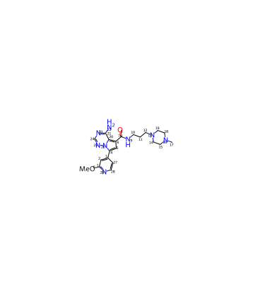 COc1cc(-c2cc(C(=O)NCCCN3CCN(C)CC3)c3c(N)ncnn23)ccn1